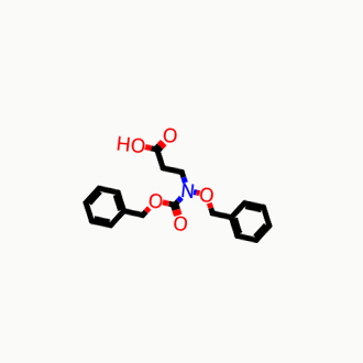 O=C(O)CCN(OCc1ccccc1)C(=O)OCc1ccccc1